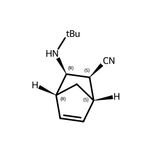 CC(C)(C)N[C@H]1[C@@H](C#N)[C@@H]2C=C[C@H]1C2